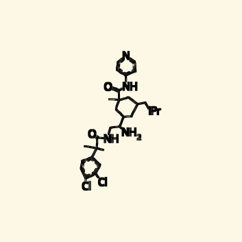 CC(C)CC1CC(C(N)CNC(=O)C(C)(C)c2ccc(Cl)c(Cl)c2)CC(C)(C(=O)Nc2ccncc2)C1